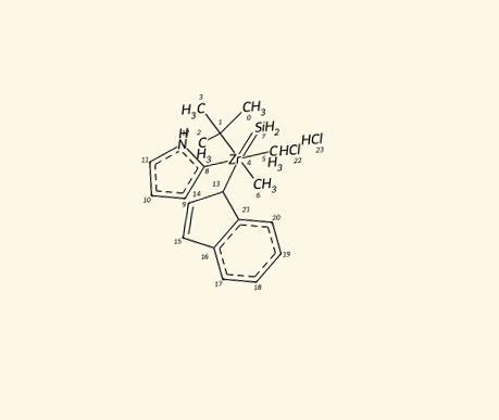 C[C](C)(C)[Zr]([CH3])([CH3])(=[SiH2])([c]1ccc[nH]1)[CH]1C=Cc2ccccc21.Cl.Cl